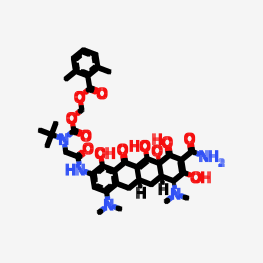 Cc1cccc(C)c1C(=O)OCOC(=O)N(CC(=O)Nc1cc(N(C)C)c2c(c1O)C(=O)C1=C(O)[C@]3(O)C(=O)C(C(N)=O)=C(O)[C@@H](N(C)C)[C@@H]3C[C@@H]1C2)C(C)(C)C